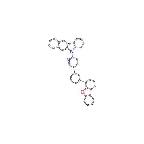 c1cc(-c2ccc(-n3c4ccccc4c4cc5ccccc5cc43)nc2)cc(-c2cccc3c2oc2ccccc23)c1